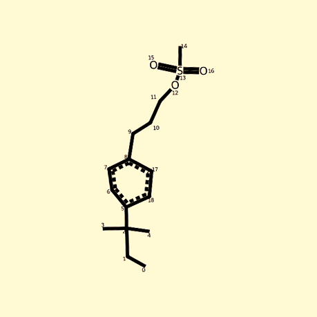 CCC(C)(C)c1ccc(CCCOS(C)(=O)=O)cc1